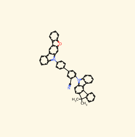 CC1(C)c2ccccc2-c2c1ccc1c2c2ccccc2n1-c1ccc(-c2ccc(-n3c4ccccc4c4cc5c(cc43)oc3ccccc35)cc2)cc1C#N